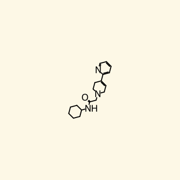 O=C(CN1CC=C(c2ccccn2)CC1)NC1CCCCC1